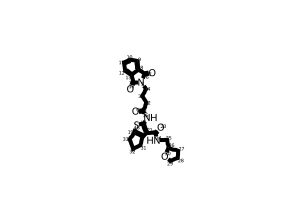 O=C(CCCN1C(=O)c2ccccc2C1=O)Nc1sc2c(c1C(=O)NCC1CCCO1)CCC2